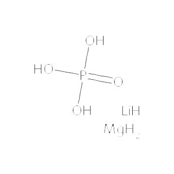 O=P(O)(O)O.[LiH].[MgH2]